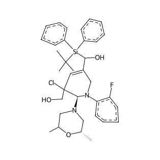 CC1CN([C@@H]2N(c3ccccc3F)CC(C(O)[Si](c3ccccc3)(c3ccccc3)C(C)(C)C)=CC2(Cl)CO)C[C@H](C)O1